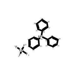 [F][Fe-]([F])([F])[F].c1ccc([PH+](c2ccccc2)c2ccccc2)cc1